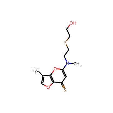 Cc1coc2c(=S)cc(N(C)CCSCCO)oc12